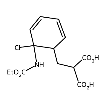 CCOC(=O)NC1(Cl)C=CC=CC1CC(C(=O)O)C(=O)O